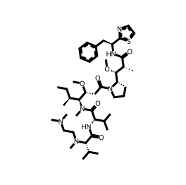 CC[C@H](C)[C@@H]([C@@H](CC(=O)N1CCC[C@H]1[C@H](OC)[C@@H](C)C(=O)N[C@@H](Cc1ccccc1)c1nccs1)OC)N(C)C(=O)[C@@H](NC(=O)[C@H](C(C)C)N(C)CCN(C)C)C(C)C